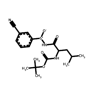 CC(C)CC(NC(=O)OC(C)(C)C)C(=O)N[S+]([O-])c1cccc(C#N)c1